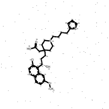 COc1ccc2ncc(Cl)c([C@@H](O)CCC3(CC(=O)O)CCN(CCCCc4cccs4)CC3)c2c1